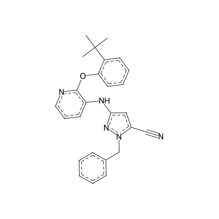 CC(C)(C)c1ccccc1Oc1ncccc1Nc1cc(C#N)n(Cc2ccccc2)n1